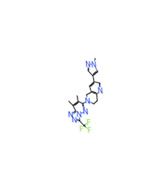 Cc1c(N2CCc3ncc(-c4cnn(C)c4)cc3C2)nn2c(C(F)(F)F)nnc2c1C